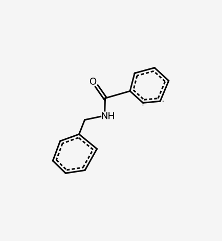 O=C(NCc1ccccc1)c1[c][c]ccc1